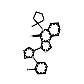 CC1(n2c(=O)c3c(-c4cnnn4-c4ccccc4F)ncn3c3ccccc32)CCCO1